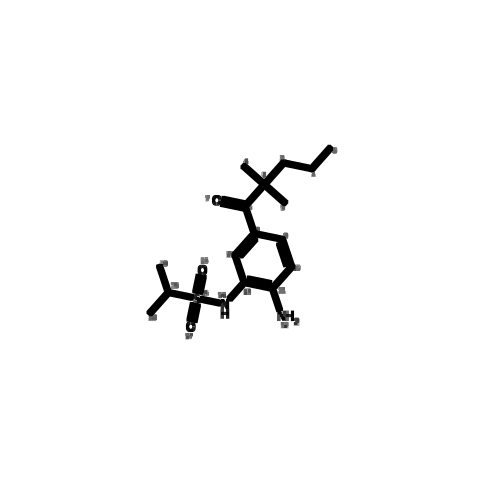 CCCC(C)(C)C(=O)c1ccc(N)c(NS(=O)(=O)C(C)C)c1